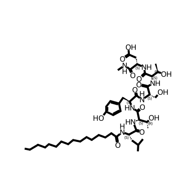 CCCCCCCCCCCCCCCC(=O)N[C@@H](CC(C)C)C(=O)N[C@H](C(=O)N[C@@H](Cc1ccc(O)cc1)C(=O)N[C@@H](CO)C(=O)N[C@H](C(=O)N[C@@H](CC(=O)O)C(=O)NC)[C@@H](C)O)[C@@H](C)O